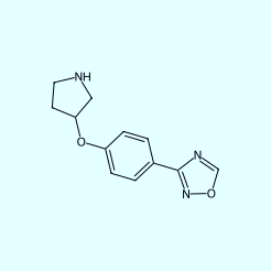 c1nc(-c2ccc(OC3CCNC3)cc2)no1